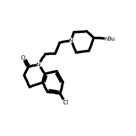 CCCCC1CCN(CCCN2C(=O)CCc3cc(Cl)ccc32)CC1